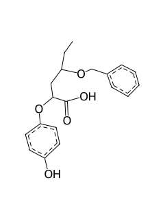 CCC(CC(Oc1ccc(O)cc1)C(=O)O)OCc1ccccc1